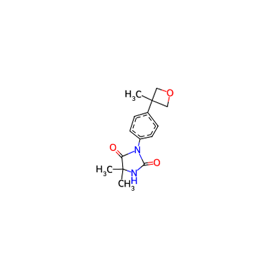 CC1(C)NC(=O)N(c2ccc(C3(C)COC3)cc2)C1=O